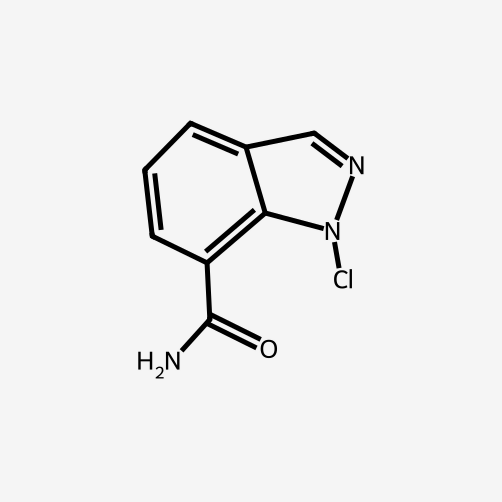 NC(=O)c1cccc2cnn(Cl)c12